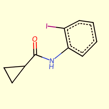 O=C(Nc1ccccc1I)C1CC1